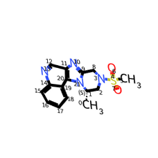 C[C@H]1CN(S(C)(=O)=O)Cc2nc3cnc4ccccc4c3n21